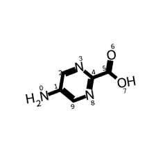 Nc1cnc(C(=O)O)nc1